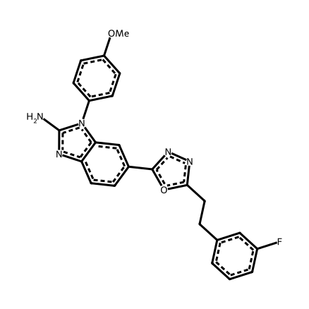 COc1ccc(-n2c(N)nc3ccc(-c4nnc(CCc5cccc(F)c5)o4)cc32)cc1